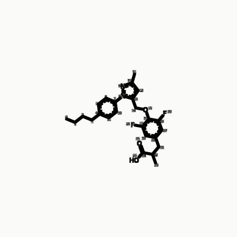 CCCCc1ccc(-n2nc(C)cc2COc2c(F)cc(CC(C)C(=O)O)cc2F)cc1